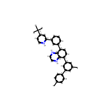 Cc1ccc(-c2cc(C)cc(-c3ccc(-c4cccc(-c5cc(C(C)(C)C)ccn5)c4)c4nccnc34)c2)cc1